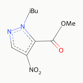 CCC(C)n1ncc([N+](=O)[O-])c1C(=O)OC